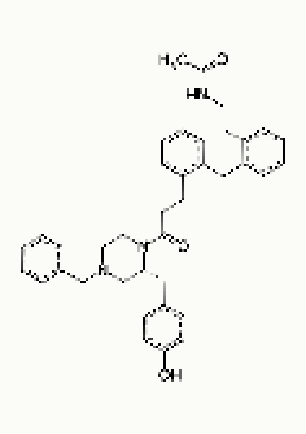 CC(=O)NCCc1ccccc1Cc1ccccc1CCC(=O)N1CCN(Cc2ccccc2)C[C@H]1Cc1ccc(O)cc1